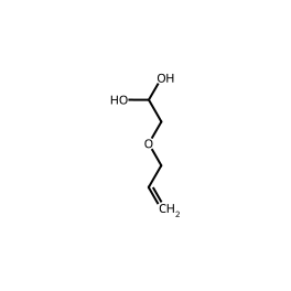 C=CCOCC(O)O